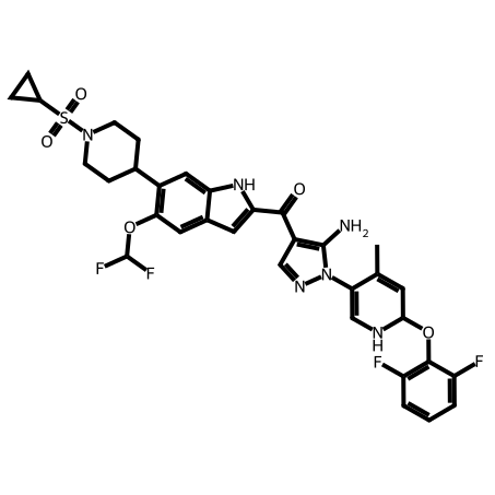 CC1=CC(Oc2c(F)cccc2F)NC=C1n1ncc(C(=O)c2cc3cc(OC(F)F)c(C4CCN(S(=O)(=O)C5CC5)CC4)cc3[nH]2)c1N